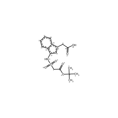 CC(C)(C)OC(=O)CS(=O)(=O)Nc1cn(CC(=O)O)c2ccccc12